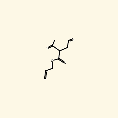 C=CCOC(=S)C(CC=C)C(C)=O